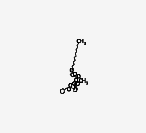 CCCCCCCCCCCCCCOc1ccc(C(=O)OC(C)OC(=O)N2CCC[C@H]2C(=O)OCc2ccccc2)o1